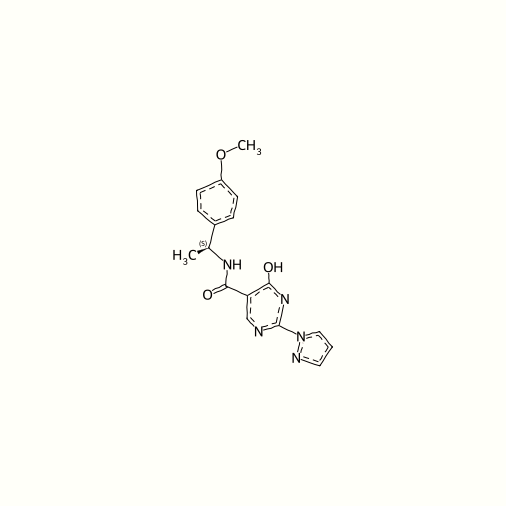 COc1ccc([C@H](C)NC(=O)c2cnc(-n3cccn3)nc2O)cc1